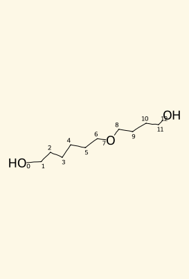 OCCCCCCOCCCCO